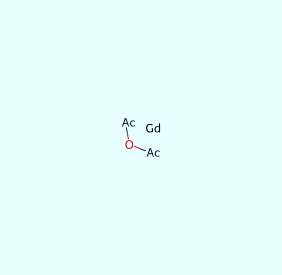 CC(=O)OC(C)=O.[Gd]